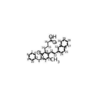 Cc1cn(Cc2ccccc2)c(=O)c(CCCC(=O)O)c1C=Cc1ccc2ccccc2c1